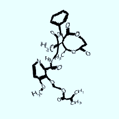 COc1ccnc(C(=O)NCC(C)(C(=O)O)[C@@H]2[C@H](C)OC(=O)CCOC(=O)[C@@H]2Cc2ccccc2)c1OCOC(=O)C(C)C